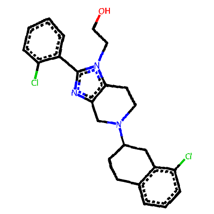 OCCn1c(-c2ccccc2Cl)nc2c1CCN(C1CCc3cccc(Cl)c3C1)C2